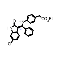 CCOC(=O)Cc1ccc(N/C(=C2\C(=O)Nc3cc(Cl)ccc32)c2ccccc2)cc1